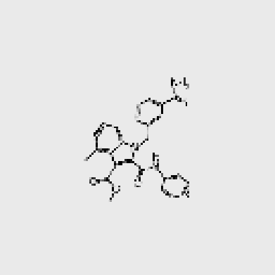 COC(=O)c1c(C(=O)Nc2ccncc2)n(Cc2cccc(C(N)=S)c2)c2cccc(C)c12